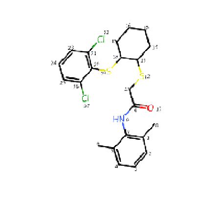 Cc1cccc(C)c1NC(=O)CSC1CCCCC1Sc1c(Cl)cccc1Cl